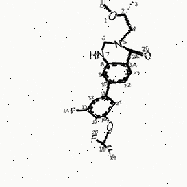 CO[C@H](C)CN1CNc2cc(-c3cc(F)cc(OC(F)F)c3)ccc2C1=O